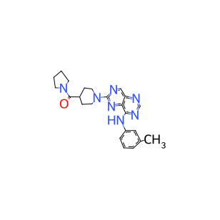 Cc1cccc(Nc2ncnc3cnc(N4CCC(C(=O)N5CCCC5)CC4)nc23)c1